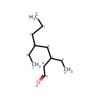 CCCC(CC)CC(CC)C[C]=O